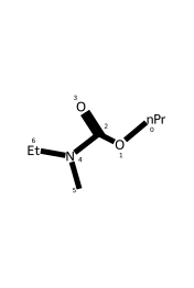 CCCOC(=O)N(C)CC